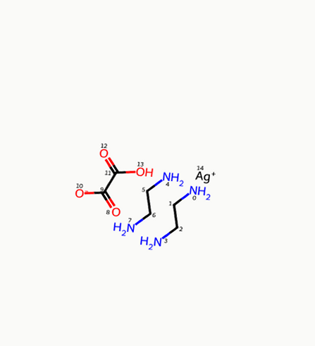 NCCN.NCCN.O=C([O-])C(=O)O.[Ag+]